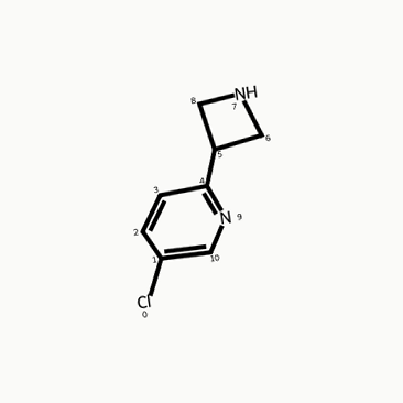 Clc1ccc(C2CNC2)nc1